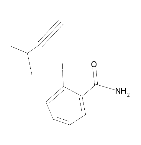 C#CC(C)C.NC(=O)c1ccccc1I